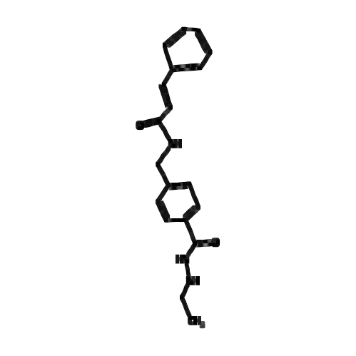 CCNNC(=O)c1ccc(CNC(=O)C=Cc2ccccc2)cc1